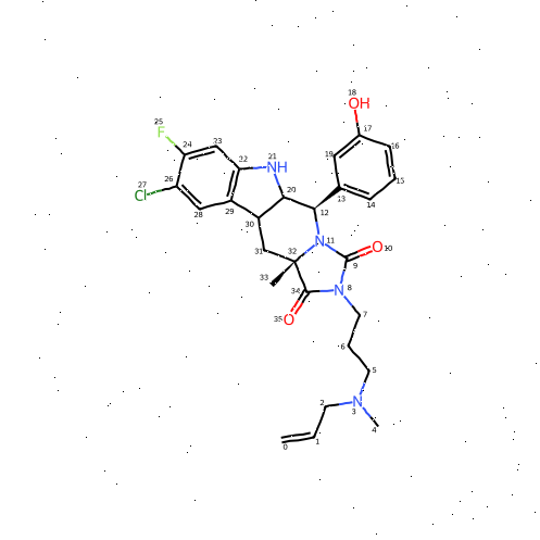 C=CCN(C)CCCN1C(=O)N2[C@H](c3cccc(O)c3)C3Nc4cc(F)c(Cl)cc4C3C[C@@]2(C)C1=O